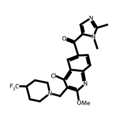 COc1nc2ccc(C(=O)c3cnc(C)n3C)cc2c(Cl)c1CN1CCC(C(F)(F)F)CC1